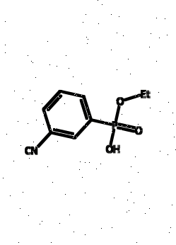 [C-]#[N+]c1cccc(P(=O)(O)OCC)c1